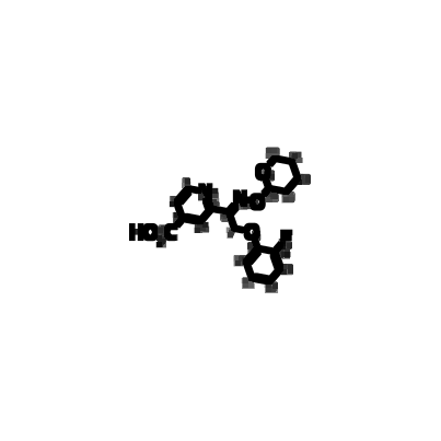 O=C(O)c1ccnc(/C(COc2ccccc2F)=N/OC2CCCCO2)c1